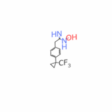 N=C(Cc1ccc(C2(C(F)(F)F)CC2)cc1)NO